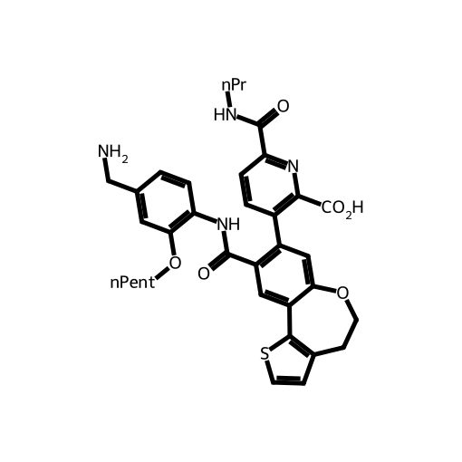 CCCCCOc1cc(CN)ccc1NC(=O)c1cc2c(cc1-c1ccc(C(=O)NCCC)nc1C(=O)O)OCCc1ccsc1-2